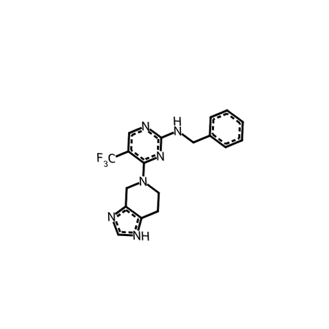 FC(F)(F)c1cnc(NCc2ccccc2)nc1N1CCc2[nH]cnc2C1